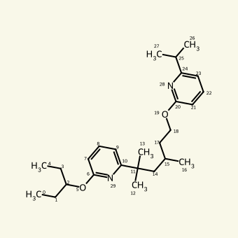 CCC(CC)Oc1cccc(C(C)(C)CC(C)CCOc2cccc(C(C)C)n2)n1